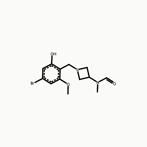 COc1cc(Br)cc(O)c1CN1CC(N(C)C=O)C1